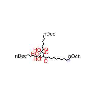 CCCCCCCC/C=C\CCCCCCCC(=O)C(CCCCCCCCCCCCCCCC)C(=O)C(O)(C(=O)CCCCCCCCCCCCCCC)C(O)CO